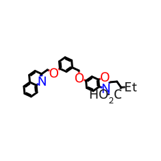 CCC(CC1Oc2cc(OCc3cccc(OCc4ccc5ccccc5n4)c3)ccc2N1C)C(=O)O